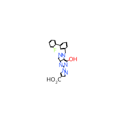 O=C(O)c1cnn(-c2nc(O)c3c(cnn3Cc3cccc(-c4ccccc4F)c3)n2)c1